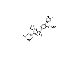 COc1cc(Nc2nc(N(CC3CC3)CC3CC3)n(CC(C)C)n2)ccc1-n1cnc(C)c1